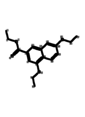 CCOC(=O)c1cc(OCC)c2ccc(OCC)cc2c1